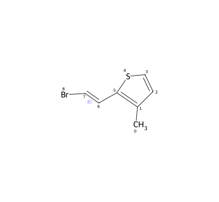 Cc1ccsc1/C=C/Br